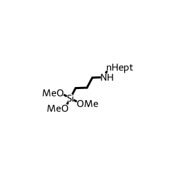 CCCCCCCNCCC[Si](OC)(OC)OC